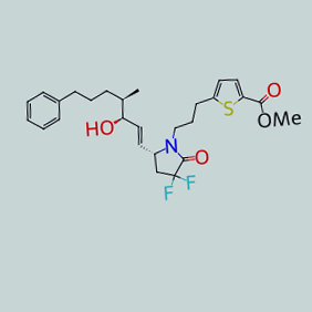 COC(=O)c1ccc(CCCN2C(=O)C(F)(F)C[C@@H]2/C=C/[C@@H](O)[C@H](C)CCCc2ccccc2)s1